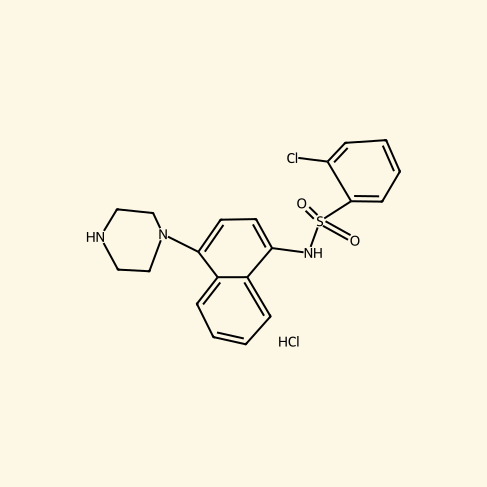 Cl.O=S(=O)(Nc1ccc(N2CCNCC2)c2ccccc12)c1ccccc1Cl